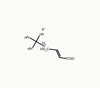 CCCC(N)(CCC)CCC.O=C([O-])C=CC(=O)O.[K+]